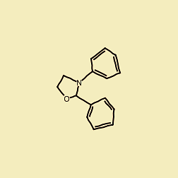 c1ccc(C2OCCN2c2ccccc2)cc1